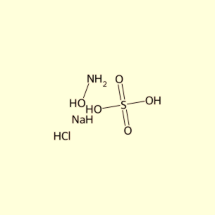 Cl.NO.O=S(=O)(O)O.[NaH]